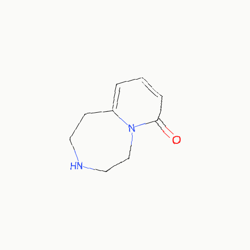 O=c1cccc2n1CCNCC2